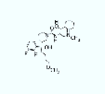 CNC[C@@H](NC(=O)N1CCC[C@@H]([C@@](O)(CCCCOC)c2cccc(F)c2F)C1)[C@@H](O)C1CCCCC1